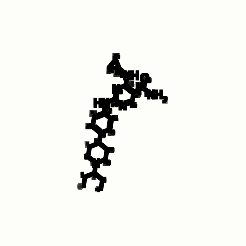 CCC(CC)N1CCC(c2ccc(Nc3ncc(C(N)=O)c(NC4CC4)n3)cc2)CC1